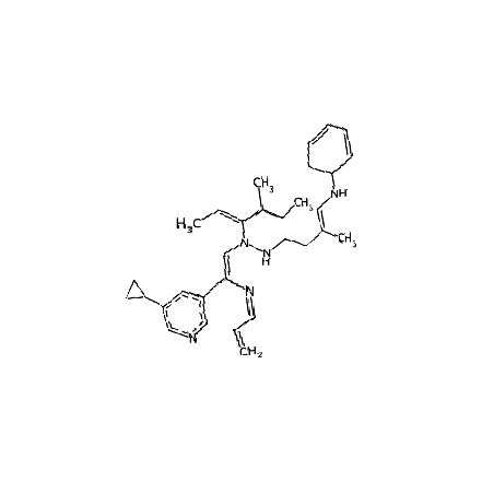 C=C/C=N\C(=C/N(NCC/C(C)=C/NC1C=CC=CC1)/C(=C\C)C(C)CC)c1cncc(C2CC2)c1